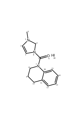 CN1C=CN(C(=O)N2CCCc3ccccc32)C1.I